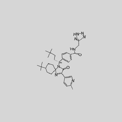 Cc1ccc(C2=NC3(CCC(C(C)(C)C)CC3)N([C@H](CCC(C)(C)C)c3ccc(C(=O)NCc4nn[nH]n4)cc3)C2=O)cn1